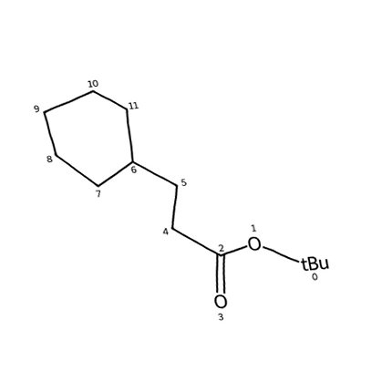 CC(C)(C)OC(=O)CCC1CCCCC1